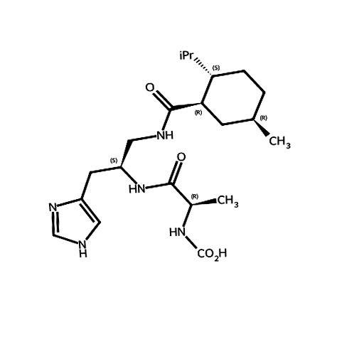 CC(C)[C@@H]1CC[C@@H](C)C[C@H]1C(=O)NC[C@H](Cc1c[nH]cn1)NC(=O)[C@@H](C)NC(=O)O